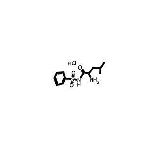 CC(C)CC(N)C(=O)NS(=O)(=O)c1ccccc1.Cl